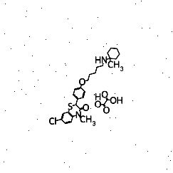 CN1C(=O)C(c2ccc(OCCCCCNC3(C)CCCCC3)cc2)Sc2cc(Cl)ccc21.O=C(O)C(=O)O